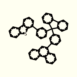 c1cc(-c2cc3ccccc3c3ccccc23)cc(C2(c3cccc(-c4cccc5c4sc4ccccc45)c3)c3ccccc3-c3ccccc32)c1